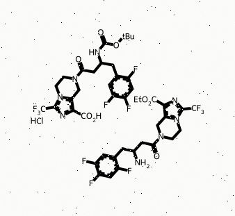 CC(C)(C)OC(=O)NC(CC(=O)N1CCn2c(C(F)(F)F)nc(C(=O)O)c2C1)Cc1cc(F)c(F)cc1F.CCOC(=O)c1nc(C(F)(F)F)n2c1CN(C(=O)CC(N)Cc1cc(F)c(F)cc1F)CC2.Cl